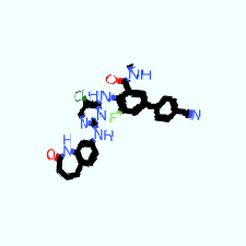 CNC(=O)c1cc(-c2ccc(C#N)cc2)cc(F)c1Nc1nc(Nc2ccc3c(c2)NC(=O)CCC3)ncc1Cl